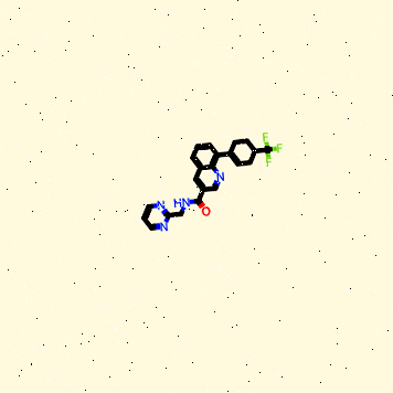 O=C(NCc1ncccn1)c1cnc2c(C3=CCC(C(F)(F)F)CC3)cccc2c1